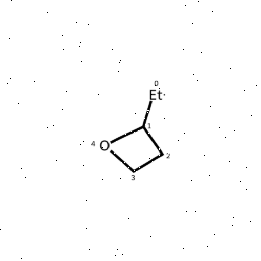 C[CH]C1CCO1